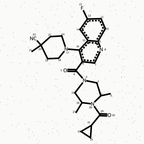 CC1CN(C(=O)c2cnc3ccc(F)cc3c2N2CCC(C)(C#N)CC2)CC(C)N1C(=O)C1CC1